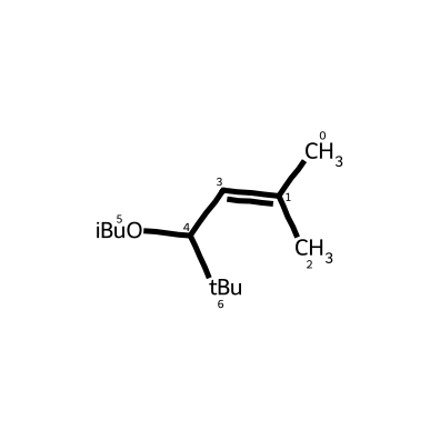 CC(C)=CC(OCC(C)C)C(C)(C)C